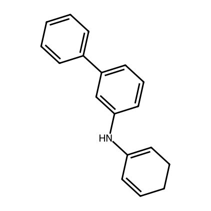 C1=CC(Nc2cccc(-c3ccccc3)c2)=CCC1